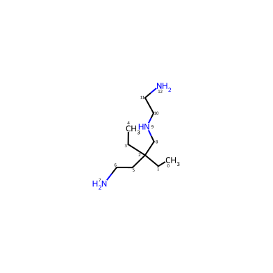 CCC(CC)(CCN)CNCCN